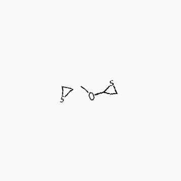 C1CS1.COC1CS1